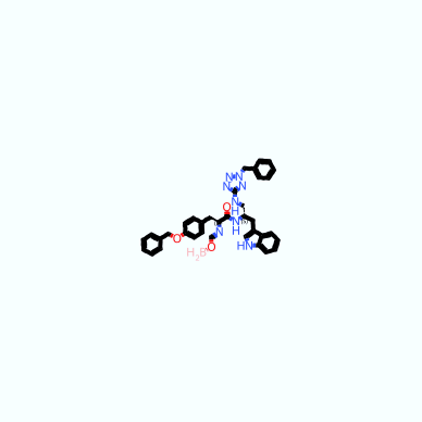 BOC=N[C@@H](Cc1ccc(OCc2ccccc2)cc1)C(=O)N[C@H](CNc1nnn(Cc2ccccc2)n1)Cc1c[nH]c2ccccc12